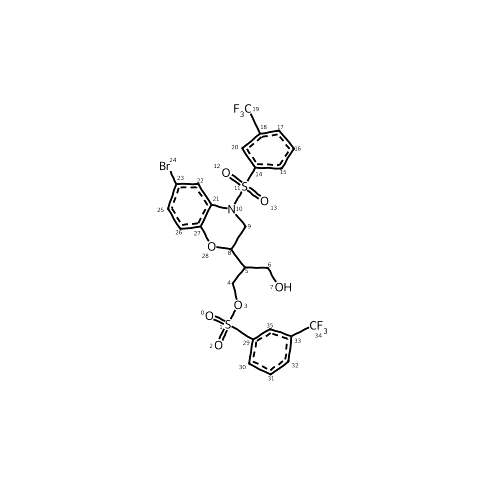 O=S(=O)(OCC(CO)C1CN(S(=O)(=O)c2cccc(C(F)(F)F)c2)c2cc(Br)ccc2O1)c1cccc(C(F)(F)F)c1